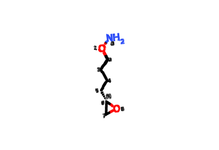 NOCCCC[C@H]1CO1